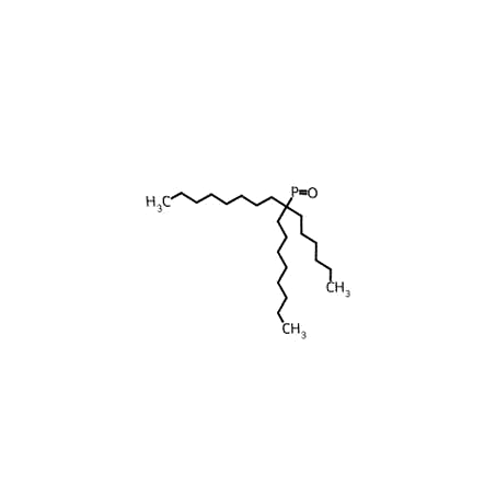 CCCCCCCCC(CCCCCC)(CCCCCCCC)P=O